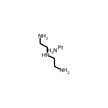 N.NCCNCCN.[Pt]